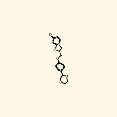 O=c1ccn2c(n1)O[C@H](COc1ccc(C3COCCO3)cc1)C2